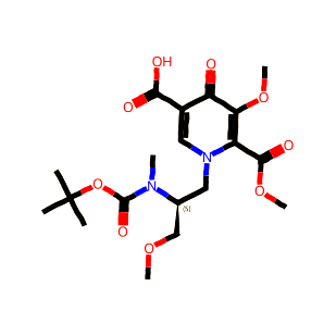 COC[C@H](Cn1cc(C(=O)O)c(=O)c(OC)c1C(=O)OC)N(C)C(=O)OC(C)(C)C